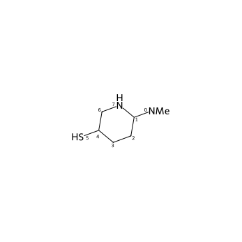 [CH]NC1CCC(S)CN1